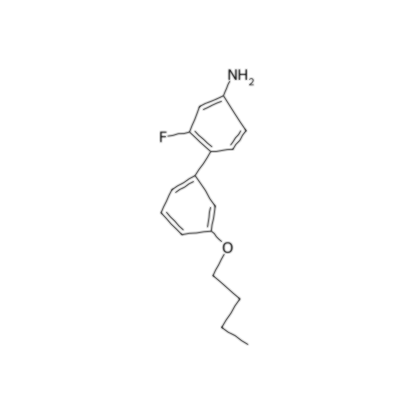 CCCCOc1cccc(-c2ccc(N)cc2F)c1